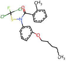 CCCCCOc1cccc(N(SC(F)(Cl)Cl)C(=O)c2ccccc2C)c1